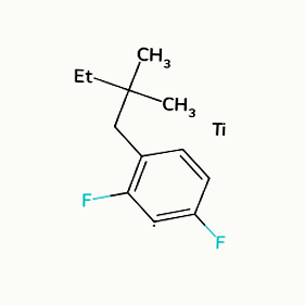 CCC(C)(C)Cc1ccc(F)[c]c1F.[Ti]